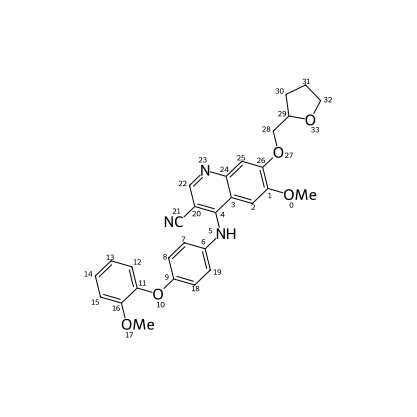 COc1cc2c(Nc3ccc(Oc4ccccc4OC)cc3)c(C#N)cnc2cc1OCC1CCCO1